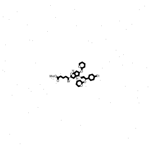 CCC1CCC([C@@H](/C=C/[C@@H]2[C@H]3C[C@H](C(Br)CCCC(=O)OC)O[C@@H]3C[C@H]2OC2CCCCO2)OC2CCCCO2)CC1